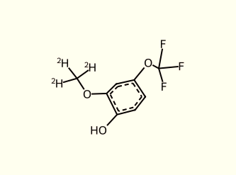 [2H]C([2H])([2H])Oc1cc(OC(F)(F)F)ccc1O